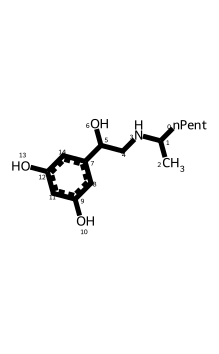 CCCCCC(C)NCC(O)c1cc(O)cc(O)c1